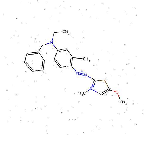 CCN(Cc1ccccc1)c1ccc(/N=N/c2sc(OC)c[n+]2C)c(C)c1